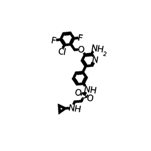 Nc1ncc(-c2cccc(NS(=O)(=O)CCNC3CC3)c2)cc1OCc1c(F)ccc(F)c1Cl